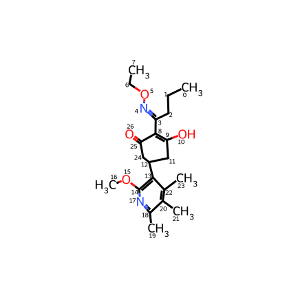 CCCC(=NOCC)C1=C(O)CC(c2c(OC)nc(C)c(C)c2C)CC1=O